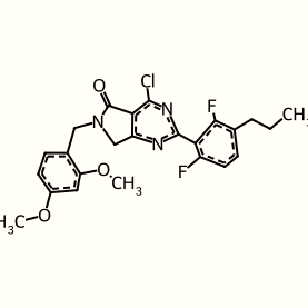 CCCc1ccc(F)c(-c2nc(Cl)c3c(n2)CN(Cc2ccc(OC)cc2OC)C3=O)c1F